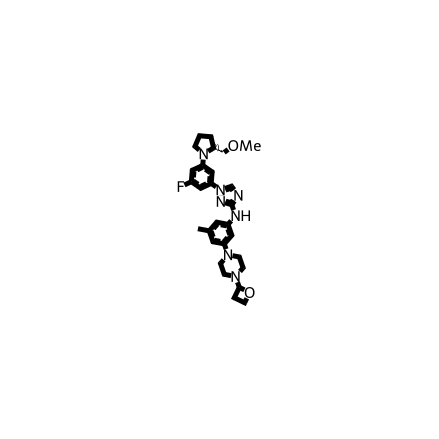 COC[C@H]1CCCN1c1cc(F)cc(-n2cnc(Nc3cc(C)cc(N4CCN(C5CCO5)CC4)c3)n2)c1